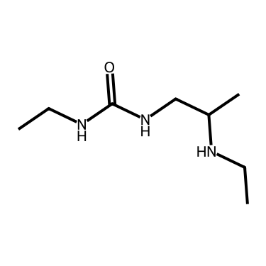 CCNC(=O)NCC(C)NCC